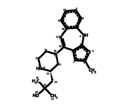 Cc1cc2c(s1)Nc1ccccc1N=C2N1CCN[C@@H](CC(C)(C)O)C1